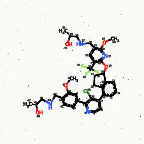 COc1cc(-c2nccc(-c3cccc4c3CC[C@H]4Oc3nc(OC)c(CNC[C@@H](C)O)cc3C(F)(F)F)c2Cl)ccc1CNC[C@@H](C)O